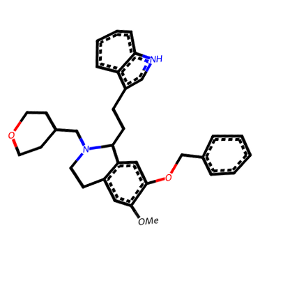 COc1cc2c(cc1OCc1ccccc1)C(CCc1c[nH]c3ccccc13)N(CC1CCOCC1)CC2